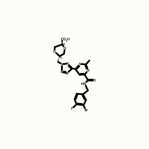 Cc1nc(C(=O)NCc2ccc(F)c(Br)c2)cc(-c2nnn(C[C@H]3CO[C@H](C(=O)O)CO3)n2)n1